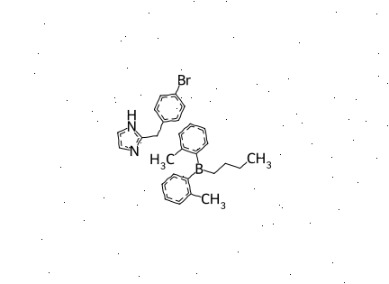 Brc1ccc(Cc2ncc[nH]2)cc1.CCCCB(c1ccccc1C)c1ccccc1C